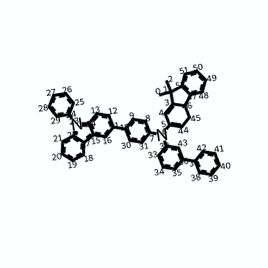 CC1(C)C2=CC(N(c3ccc(-c4ccc5c(c4)c4ccccc4n5-c4ccccc4)cc3)c3cccc(-c4ccccc4)c3)=CCC2c2ccccc21